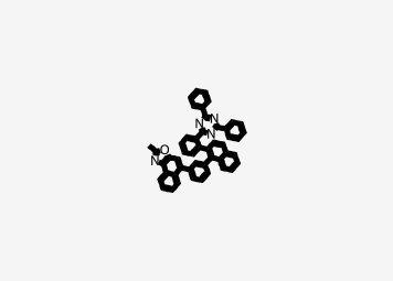 Cc1nc2c(cc(-c3cccc(-c4c(-c5ccccc5-c5nc(-c6ccccc6)nc(-c6ccccc6)n5)ccc5ccccc45)c3)c3ccccc32)o1